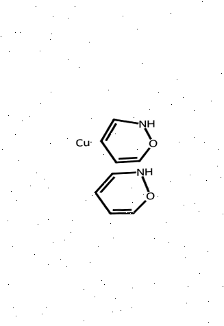 C1=CNOC=C1.C1=CNOC=C1.[Cu]